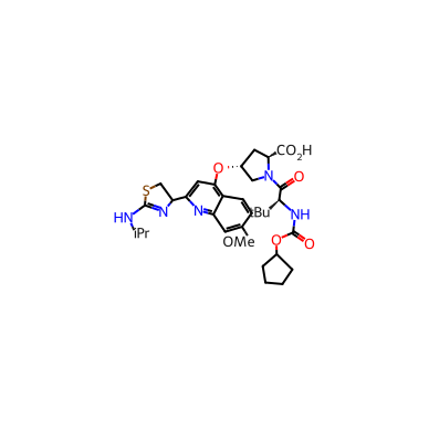 COc1ccc2c(O[C@@H]3C[C@@H](C(=O)O)N(C(=O)[C@@H](NC(=O)OC4CCCC4)C(C)(C)C)C3)cc(C3CSC(NC(C)C)=N3)nc2c1